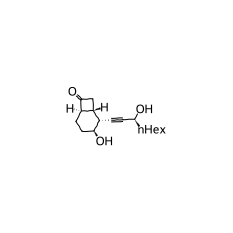 CCCCCC[C@H](O)C#C[C@H]1[C@H]2CC(=O)[C@@H]2CC[C@@H]1O